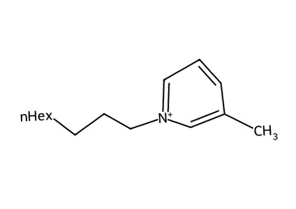 CCCCCCCCC[n+]1cccc(C)c1